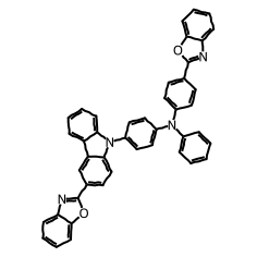 c1ccc(N(c2ccc(-c3nc4ccccc4o3)cc2)c2ccc(-n3c4ccccc4c4cc(-c5nc6ccccc6o5)ccc43)cc2)cc1